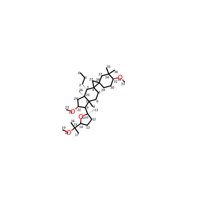 CCC[C@@H]1C2(CCC3(C)C([C@@]4(C)CCC(C(C)(C)OC)O4)[C@@H](OC)C[C@@]13C)CC21CC[C@H](OC)C(C)(C)C1